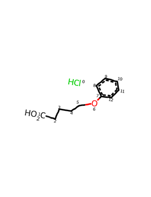 Cl.O=C(O)CCCCOc1ccccc1